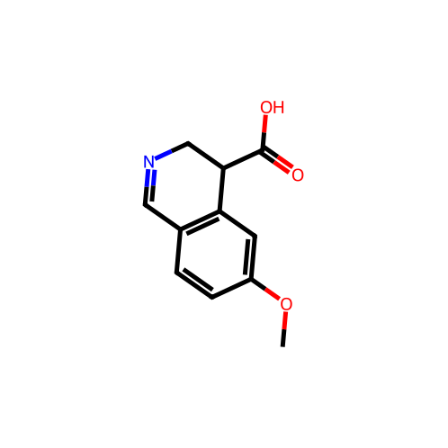 COc1ccc2c(c1)C(C(=O)O)CN=C2